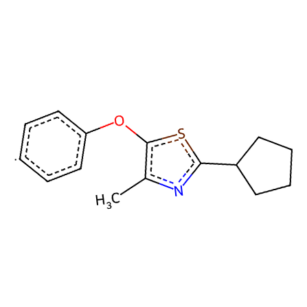 Cc1nc(C2CCCC2)sc1Oc1cc[c]cc1